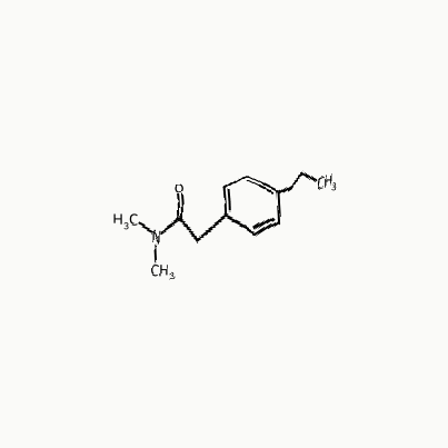 CCc1ccc(CC(=O)N(C)C)cc1